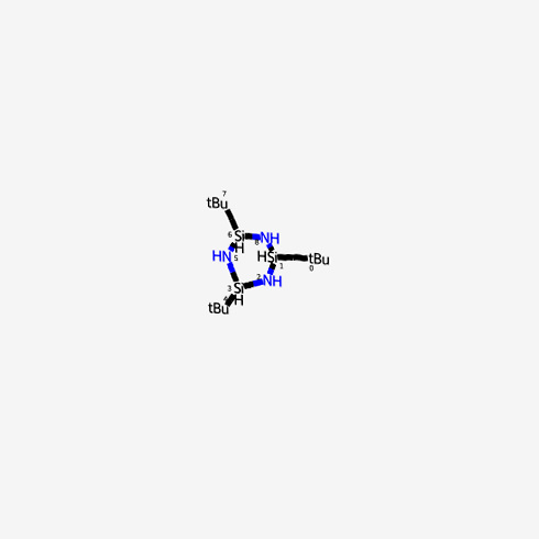 CC(C)(C)[SiH]1N[SiH](C(C)(C)C)N[SiH](C(C)(C)C)N1